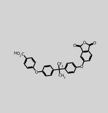 CC(c1ccc(Oc2ccc(C(=O)O)cc2)cc1)(c1ccc(Oc2ccc3c(c2)C(=O)OC3=O)cc1)C(F)(F)F